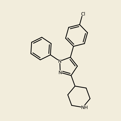 Clc1ccc(-c2cc(C3CCNCC3)nn2-c2ccccc2)cc1